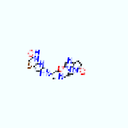 O=C1CSc2ccc(CNC3CCN(C[C@@H]4Cn5c(=O)ccc6ncc(=O)n4c65)CC3)nc2N1